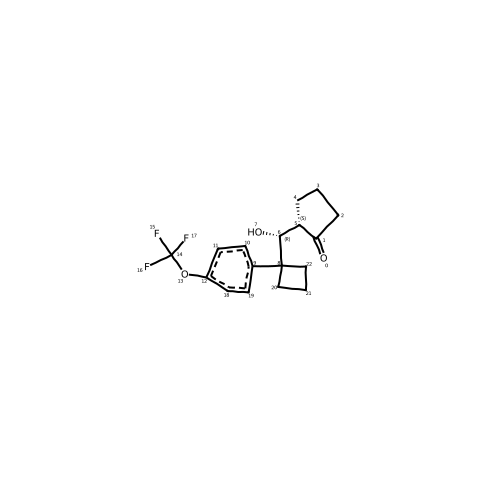 O=C1CCC[C@H]1[C@@H](O)C1(c2ccc(OC(F)(F)F)cc2)CCC1